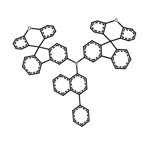 c1ccc(-c2ccc(N(c3ccc4c(c3)-c3ccccc3C43c4ccccc4Oc4ccccc43)c3ccc4c(c3)-c3ccccc3C43c4ccccc4Oc4ccccc43)c3ccccc23)cc1